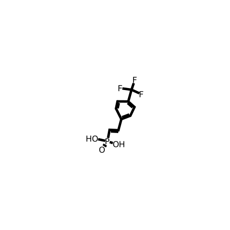 O=P(O)(O)C=Cc1ccc(C(F)(F)F)cc1